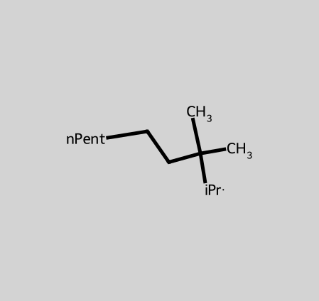 CCCCCCCC(C)(C)[C](C)C